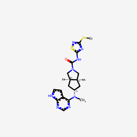 CCSc1nsc(NC(=O)N2C[C@H]3C[C@H](N(C)c4ncnc5[nH]ccc45)C[C@H]3C2)n1